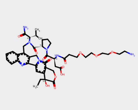 CC[C@@]1(O)C(=O)OCc2c1cc1n(c2=O)Cc2c-1nc1ccccc1c2CN(C(=O)[C@@H]1CCCN1C(=O)[C@H](CC(=O)O)NC(=O)CCOCCOCCOCCN)[C@H](C(N)=O)C(C)C